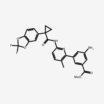 Bc1cc(C(=O)OC)cc(-c2nc(NC(=O)C3(c4ccc5c(c4)OC(F)(F)O5)CC3)ccc2C)c1